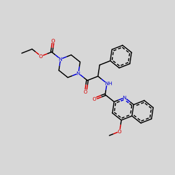 CCOC(=O)N1CCN(C(=O)C(Cc2ccccc2)NC(=O)c2cc(OC)c3ccccc3n2)CC1